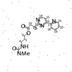 CNC(=O)NCCCOC(=O)CSc1nccc(-c2ccccn2)n1